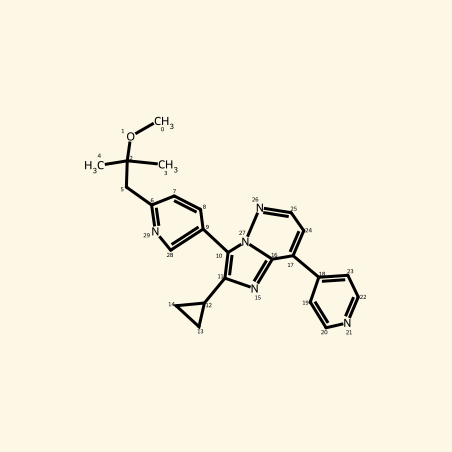 COC(C)(C)Cc1ccc(-c2c(C3CC3)nc3c(-c4ccncc4)ccnn23)cn1